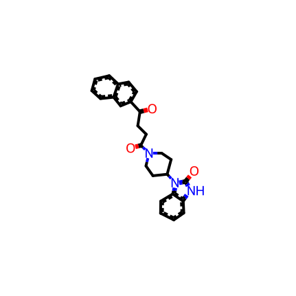 O=C(CCC(=O)N1CCC(n2c(=O)[nH]c3ccccc32)CC1)c1ccc2ccccc2c1